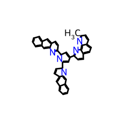 Cc1ccc2ccc3ccc(-c4cc(-c5ccc6cc7ccccc7cc6n5)nc(-c5ccc6cc7ccccc7cc6n5)c4)nc3c2n1